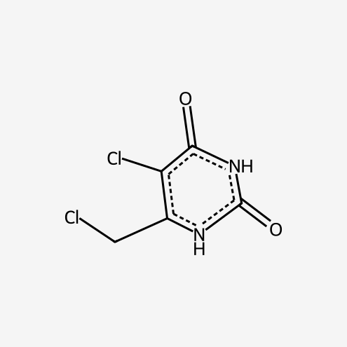 O=c1[nH]c(CCl)c(Cl)c(=O)[nH]1